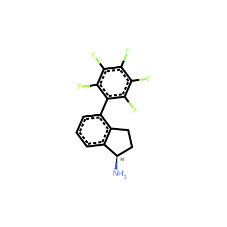 N[C@@H]1CCc2c(-c3c(F)c(F)c(F)c(F)c3F)cccc21